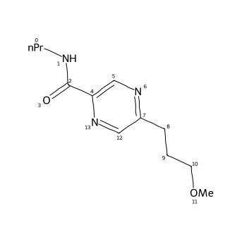 CCCNC(=O)c1cnc(CCCOC)cn1